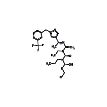 C=C(/N=C(\C)c1cnn(Cc2cccc(C(F)(F)F)c2)c1)N(CC)C(=O)N(CCC)C(O)OCCl